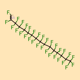 F/[C]=C(\F)C(F)(F)C(F)(F)C(F)(F)C(F)(F)C(F)(F)C(F)(F)C(F)(F)C(F)(F)C(F)(F)C(F)(F)C(F)(F)C(F)(F)C(F)(F)C(F)(F)F